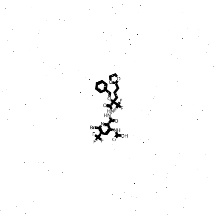 O=C(O)Nc1cc(C(F)(F)F)c(Br)nc1C(=O)NNC(=O)C(CCCC1OCCO1)(OCc1ccccc1)C(F)(F)F